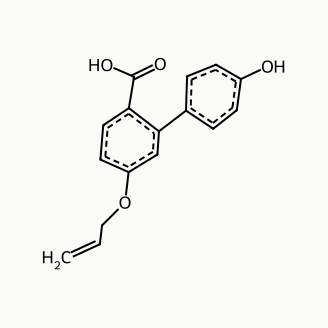 C=CCOc1ccc(C(=O)O)c(-c2ccc(O)cc2)c1